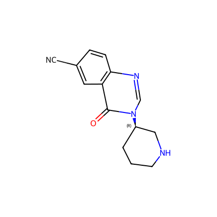 N#Cc1ccc2ncn([C@@H]3CCCNC3)c(=O)c2c1